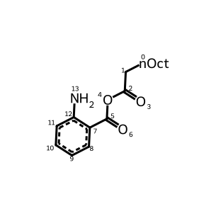 CCCCCCCCCC(=O)OC(=O)c1ccccc1N